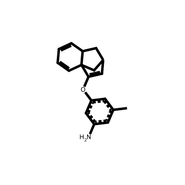 Cc1cc(N)cc(OC2=CC3CC4C=CC=CC24C3)c1